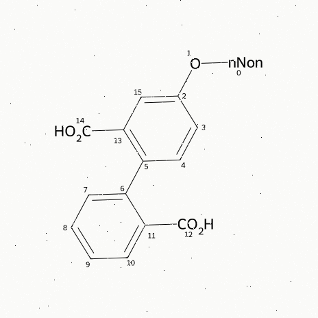 CCCCCCCCCOc1ccc(-c2ccccc2C(=O)O)c(C(=O)O)c1